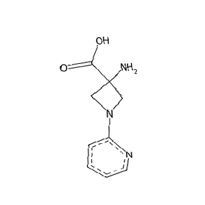 NC1(C(=O)O)CN(c2ccccn2)C1